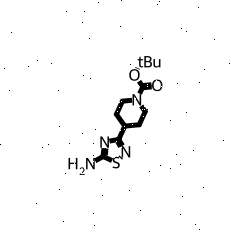 CC(C)(C)OC(=O)N1CCC(c2nsc(N)n2)CC1